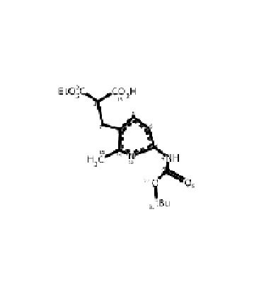 CCOC(=O)C(Cc1ccc(NC(=O)OC(C)(C)C)nc1C)C(=O)O